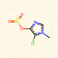 Cn1cnc(O[SH](=O)=O)c1Cl